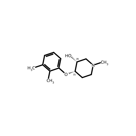 Cc1cccc(O[C@H]2CCN(C)C[C@H]2O)c1C